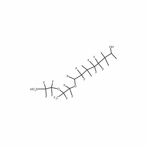 CC(O)C(C)(C)C(F)(F)C(F)(F)C(C)(C)C(F)(F)C(F)OC(F)(F)C(F)(OC(F)(F)C(F)(F)S(=O)(=O)O)C(F)(F)F